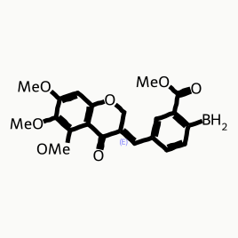 Bc1ccc(/C=C2\COc3cc(OC)c(OC)c(OC)c3C2=O)cc1C(=O)OC